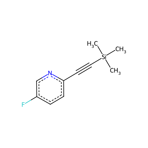 C[Si](C)(C)C#Cc1ccc(F)cn1